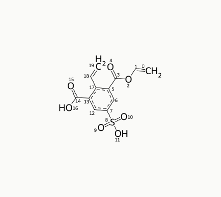 C=COC(=O)c1cc(S(=O)(=O)O)cc(C(=O)O)c1C=C